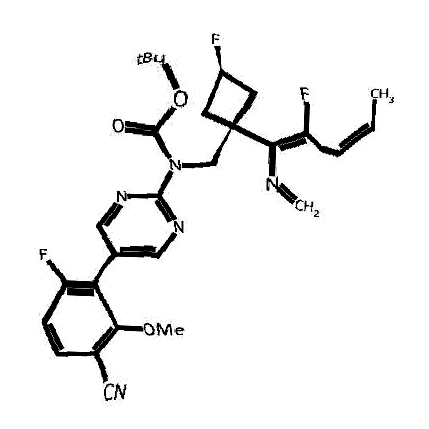 C=N/C(=C(F)\C=C/C)[C@]1(CN(C(=O)OC(C)(C)C)c2ncc(-c3c(F)ccc(C#N)c3OC)cn2)C[C@@H](F)C1